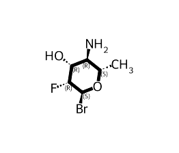 C[C@@H]1O[C@@H](Br)[C@H](F)[C@H](O)[C@H]1N